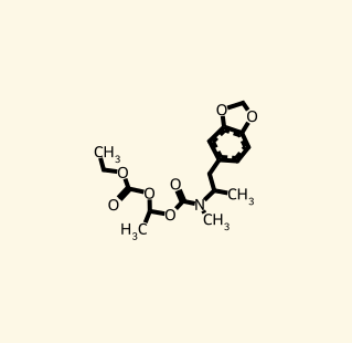 CCOC(=O)OC(C)OC(=O)N(C)C(C)Cc1ccc2c(c1)OCO2